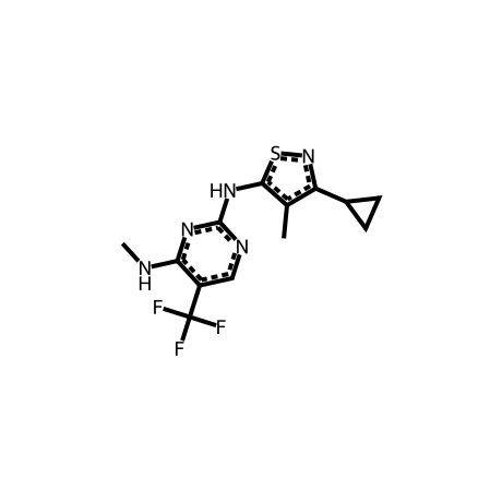 CNc1nc(Nc2snc(C3CC3)c2C)ncc1C(F)(F)F